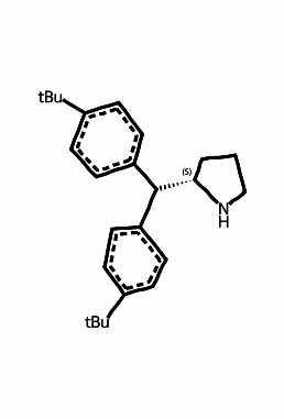 CC(C)(C)c1ccc(C(c2ccc(C(C)(C)C)cc2)[C@@H]2CCCN2)cc1